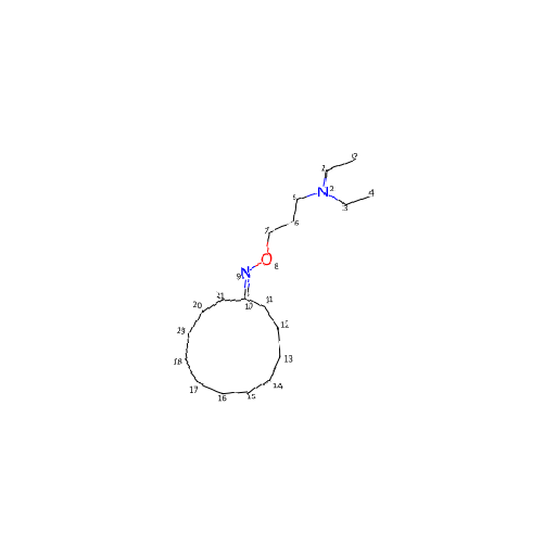 CCN(CC)CCCON=C1CCCCCCCCCCC1